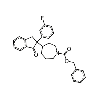 O=C(OCc1ccccc1)N1CCCC(C2(c3cccc(F)c3)Cc3ccccc3C2=O)CC1